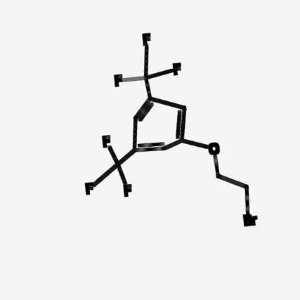 FC(F)(F)c1cc(OCCBr)cc(C(F)(F)F)c1